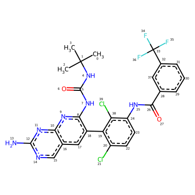 CC(C)(C)NC(=O)Nc1nc2nc(N)ncc2cc1-c1c(Cl)ccc(NC(=O)c2cccc(C(F)(F)F)c2)c1Cl